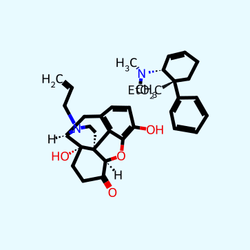 C=CCN1CC[C@]23c4c5ccc(O)c4O[C@H]2C(=O)CC[C@@]3(O)[C@H]1C5.CCOC(=O)[C@]1(c2ccccc2)CCC=C[C@H]1N(C)C